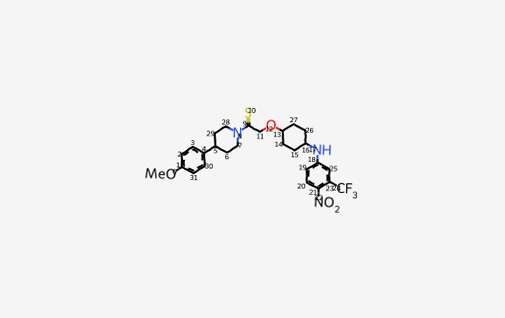 COc1ccc(C2CCN(C(=S)COC3CCC(Nc4ccc([N+](=O)[O-])c(C(F)(F)F)c4)CC3)CC2)cc1